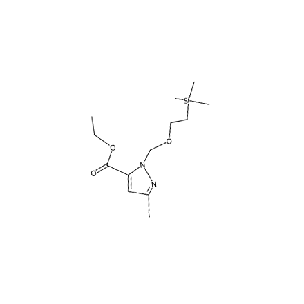 CCOC(=O)c1cc(I)nn1COCC[Si](C)(C)C